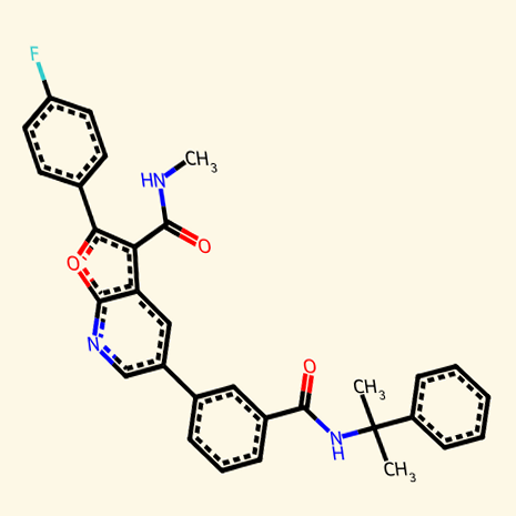 CNC(=O)c1c(-c2ccc(F)cc2)oc2ncc(-c3cccc(C(=O)NC(C)(C)c4ccccc4)c3)cc12